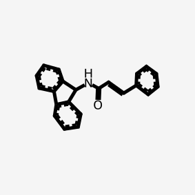 O=C(/C=C/c1ccccc1)NC1c2ccccc2-c2ccccc21